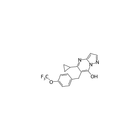 Oc1c(Cc2ccc(OC(F)(F)F)cc2)c(C2CC2)nc2ccnn12